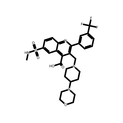 CNS(=O)(=O)c1ccc2nc(-c3cccc(C(F)(F)F)c3)c(CN3CCC(N4CCOCC4)CC3)c(C(=O)O)c2c1